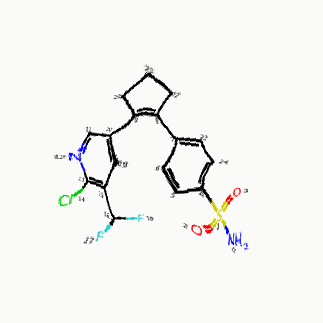 NS(=O)(=O)c1ccc(C2=C(c3cnc(Cl)c(C(F)F)c3)CCC2)cc1